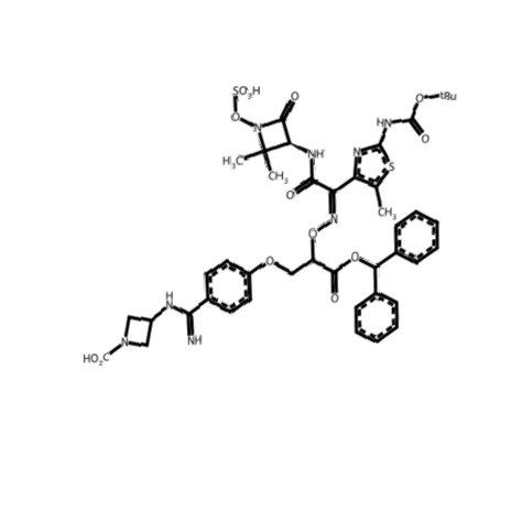 Cc1sc(NC(=O)OC(C)(C)C)nc1/C(=N/OC(COc1ccc(C(=N)NC2CN(C(=O)O)C2)cc1)C(=O)OC(c1ccccc1)c1ccccc1)C(=O)N[C@@H]1C(=O)N(OS(=O)(=O)O)C1(C)C